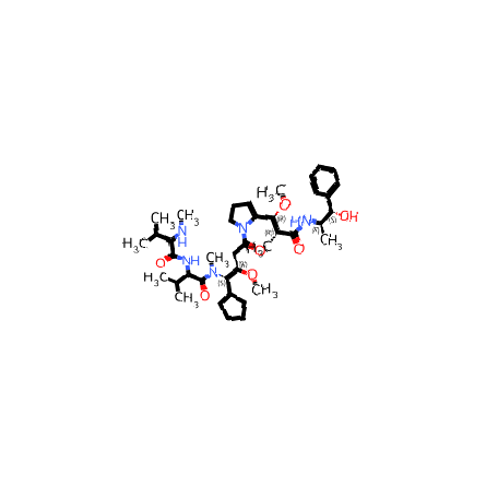 CNC(C(=O)NC(C(=O)N(C)[C@@H](C1CCCC1)[C@@H](CC(=O)N1CCCC1[C@H](OC)[C@@H](C)C(=O)N[C@H](C)[C@@H](O)c1ccccc1)OC)C(C)C)C(C)C